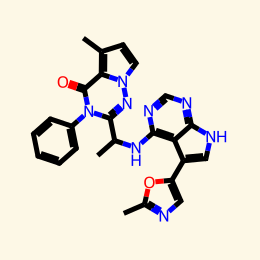 Cc1ncc(-c2c[nH]c3ncnc(NC(C)c4nn5ccc(C)c5c(=O)n4-c4ccccc4)c23)o1